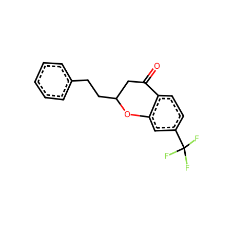 O=C1CC(CCc2ccccc2)Oc2cc(C(F)(F)F)ccc21